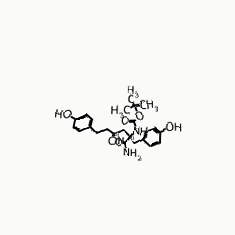 CC(C)(C)OC(=O)N[C@](Cc1ccc(O)cc1)(C[C@@H](O)CCc1ccc(O)cc1)C(N)=O